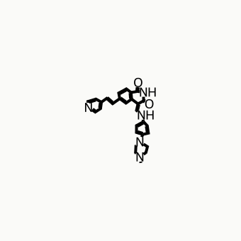 CN1CCN(c2ccc(N/C=C3\C(=O)NC(=O)c4ccc(/C=C/c5ccncc5)cc43)cc2)CC1